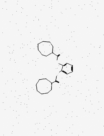 O=C(Oc1ccccc1OC(=O)C1CCCCCCC1)C1CCCCCCC1